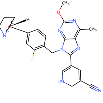 COc1nc(C)c2nc(C3=CNCC(C#N)=C3)n(Cc3ccc([C@H]4CN5CCC4CC5)cc3F)c2n1